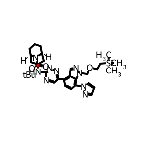 CC(C)(C)OC(=O)N1[C@@H]2CCC[C@H]1CC(Nc1ncc(-c3ccc(-n4cccn4)c4c3cnn4COCC[Si](C)(C)C)nn1)C2